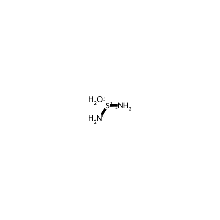 NSN.O